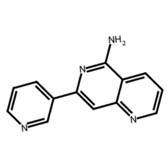 Nc1nc(-c2cccnc2)cc2ncccc12